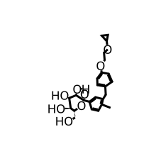 CO[C@@]1(c2ccc(C)c(Cc3ccc(OCCOC4CC4)cc3)c2)O[C@H](CO)[C@@H](O)[C@H](O)[C@H]1O